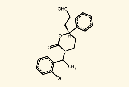 CC(c1ccccc1Br)N1CC[C@@](CCC=O)(c2ccccc2)OC1=O